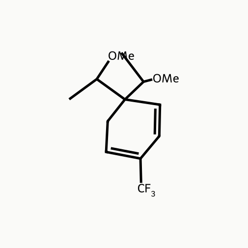 COC(C)C1(C(C)OC)C=CC(C(F)(F)F)=CC1